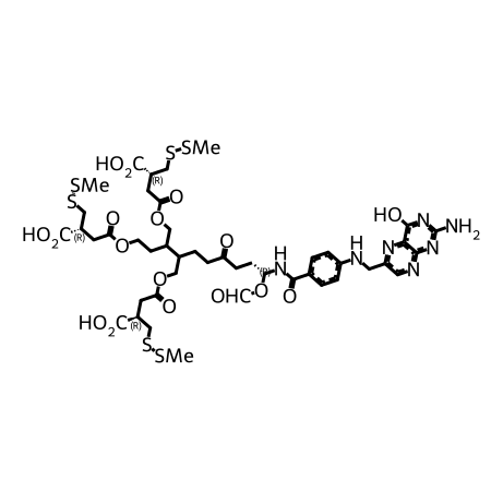 CSSC[C@H](CC(=O)OCCC(COC(=O)C[C@@H](CSSC)C(=O)O)C(CCC(=O)CC[C@H](NC(=O)c1ccc(NCc2cnc3nc(N)nc(O)c3n2)cc1)OC=O)COC(=O)C[C@@H](CSSC)C(=O)O)C(=O)O